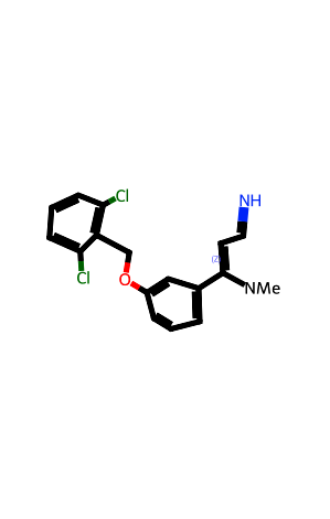 CN/C(=C\C=N)c1cccc(OCc2c(Cl)cccc2Cl)c1